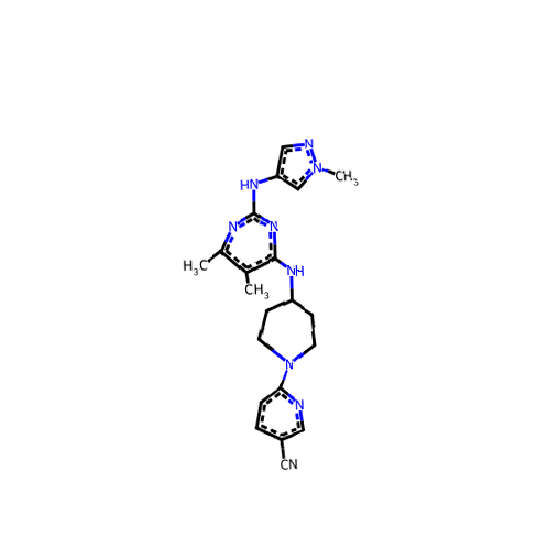 Cc1nc(Nc2cnn(C)c2)nc(NC2CCN(c3ccc(C#N)cn3)CC2)c1C